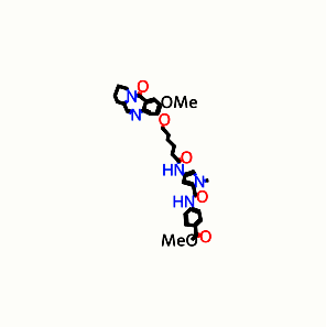 COC(=O)c1ccc(NC(=O)c2cc(NC(=O)CCCCCOc3cc4c(cc3OC)C(=O)N3CCCCC3C=N4)cn2C)cc1